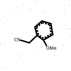 [C-]#[N+]Cc1ccccc1OC